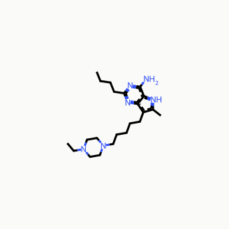 CCCCc1nc(N)c2[nH]c(C)c(CCCCCN3CCN(CC)CC3)c2n1